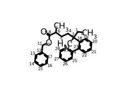 CCC(C)(CCC(C)C(=O)OCc1ccccc1)c1ccccc1-c1ccccn1